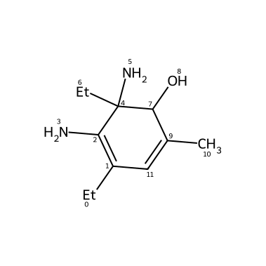 CCC1=C(N)C(N)(CC)C(O)C(C)=C1